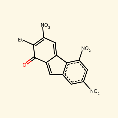 CCC1=C([N+](=O)[O-])C=C2C(=Cc3cc([N+](=O)[O-])cc([N+](=O)[O-])c32)C1=O